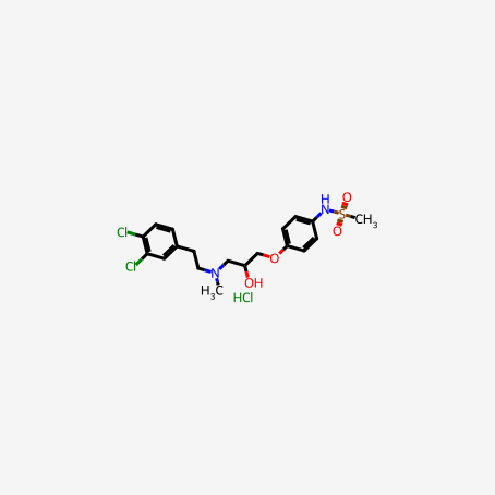 CN(CCc1ccc(Cl)c(Cl)c1)CC(O)COc1ccc(NS(C)(=O)=O)cc1.Cl